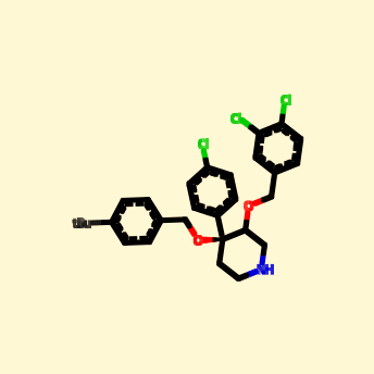 CC(C)(C)c1ccc(CO[C@]2(c3ccc(Cl)cc3)CCNCC2OCc2ccc(Cl)c(Cl)c2)cc1